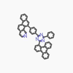 c1ccc(-c2nc(-c3ccc(-c4cc5ccccc5c5ccc6ccncc6c45)cc3)nc(-c3cccc4c5ccccc5c5ccccc5c34)n2)cc1